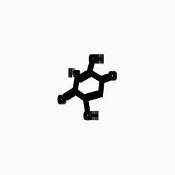 O=C1C=C(O)C(=O)C=C1O.[Fe]